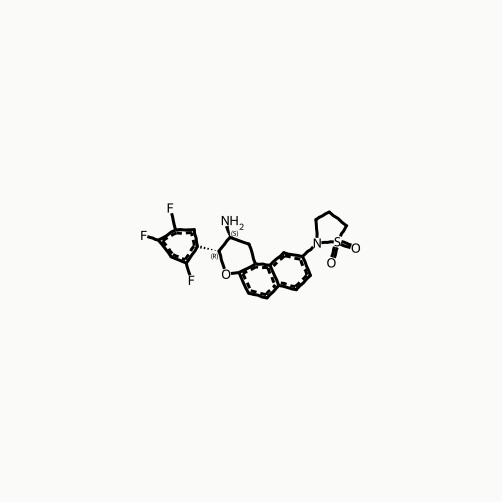 N[C@H]1Cc2c(ccc3ccc(N4CCCS4(=O)=O)cc23)O[C@@H]1c1cc(F)c(F)cc1F